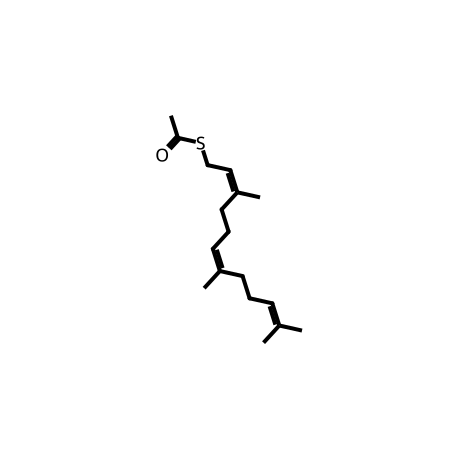 CC(=O)SCC=C(C)CCC=C(C)CCC=C(C)C